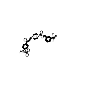 O=C(CCN1CCN(C(=O)OCc2cccc(C(F)(F)F)c2)CC1)c1ccc2[nH]c(=O)oc2c1